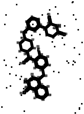 O=C1CCC(c2cccc(CN3CCN(C(=O)c4cc(Cc5n[nH]c(=O)c6ccccc56)ccc4F)CC3)c2)C(=O)N1